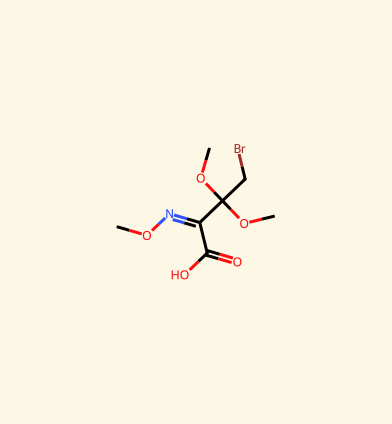 CO/N=C(\C(=O)O)C(CBr)(OC)OC